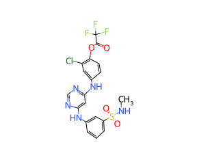 CNS(=O)(=O)c1cccc(Nc2cc(Nc3ccc(OC(=O)C(F)(F)F)c(Cl)c3)ncn2)c1